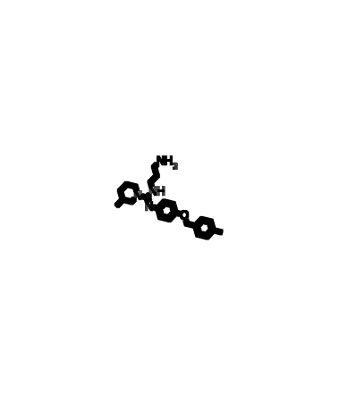 Cc1ccc(COc2ccc(/N=C(\NCCCN)N3CCCC(C)C3)cc2)cc1